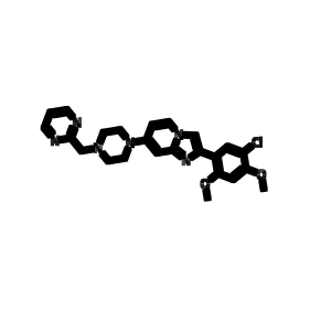 COc1cc(OC)c(-c2cn3ccc(N4CCN(Cc5ncccn5)CC4)cc3n2)cc1Cl